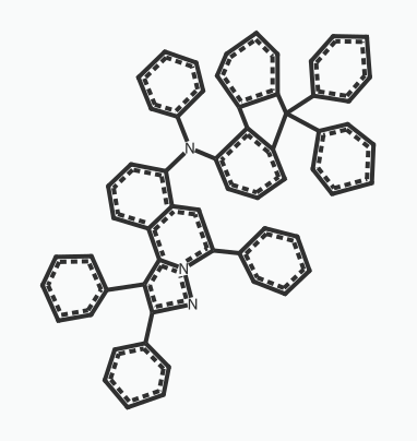 c1ccc(-c2nn3c(-c4ccccc4)cc4c(N(c5ccccc5)c5cccc6c5-c5ccccc5C6(c5ccccc5)c5ccccc5)cccc4c3c2-c2ccccc2)cc1